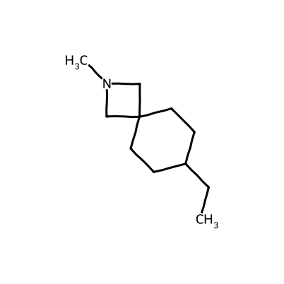 CCC1CCC2(CC1)CN(C)C2